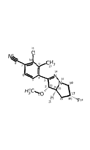 CO[C@@H]1C(c2ccc(C#N)c(Cl)c2C)=NN2C[C@H](F)C[C@@H]12